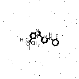 CC(C)(O)c1ccc2ncc(-c3cccc(N[C@H]4CCCC[C@@H]4F)n3)n2c1